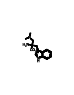 CN(C)CC(N)(Cc1c[nH]c2ccccc12)C(=O)O